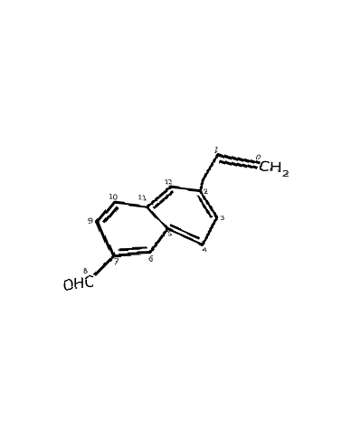 C=Cc1ccc2cc(C=O)ccc2c1